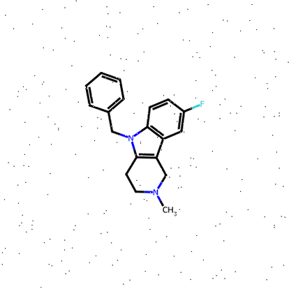 CN1CCc2c(c3cc(F)ccc3n2Cc2ccccc2)C1